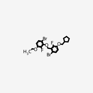 CCOc1ccc(Br)c(OCc2c(Br)ccc(OCC3CCCC3)c2F)c1F